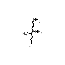 NCCCC(N)C(N)CCC=O